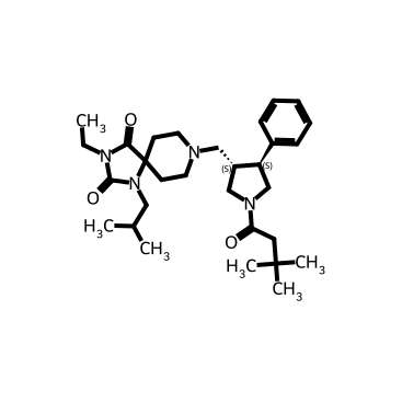 CCN1C(=O)N(CC(C)C)C2(CCN(C[C@H]3CN(C(=O)CC(C)(C)C)C[C@@H]3c3ccccc3)CC2)C1=O